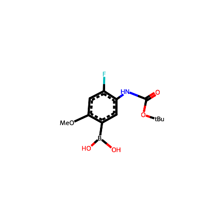 COc1cc(F)c(NC(=O)OC(C)(C)C)cc1B(O)O